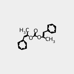 CC(=Cc1ccccc1)OC(=O)OC(C)=Cc1ccccc1